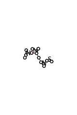 c1ccc(-n2c3ccccc3c3cc(-c4ccc(-c5ccc6c7ccccc7n(-c7ccc8sc9ccccc9c8c7)c6c5)cc4)cc(-c4ccc(-n5c6ccccc6c6cc7ccccc7cc65)cc4)c32)cc1